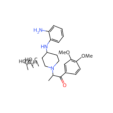 CC(=O)O.CC(=O)O.CC(=O)O.COc1ccc(C(=O)C(C)N2CCC(Nc3ccccc3N)CC2)cc1OC